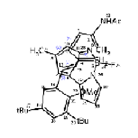 C=C(/C=C\C(=C)\C1=C/C(C)=C\C(\C=C\c2cc(C(C)(C)C)cc(C(C)(C)C)c2OC)=N\B(F)n2cccc21)NC(C)=O